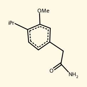 COc1cc(CC(N)=O)ccc1C(C)C